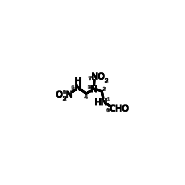 O=CNCN(CN[N+](=O)[O-])[N+](=O)[O-]